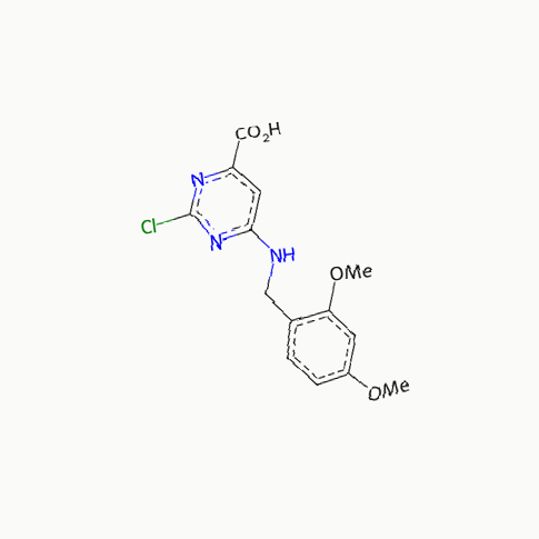 COc1ccc(CNc2cc(C(=O)O)nc(Cl)n2)c(OC)c1